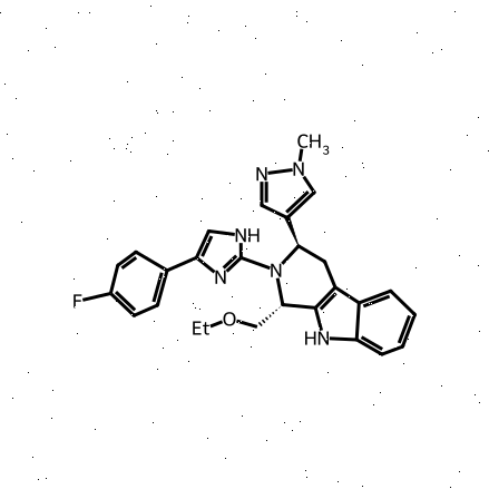 CCOC[C@H]1c2[nH]c3ccccc3c2C[C@H](c2cnn(C)c2)N1c1nc(-c2ccc(F)cc2)c[nH]1